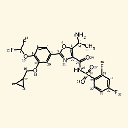 C[C@H](N)c1oc(-c2ccc(OC(F)F)c(OCC3CC3)c2)nc1C(=O)NS(=O)(=O)c1ccc(F)cc1F